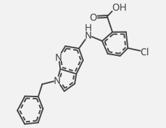 O=C(O)c1cc(Cl)ccc1Nc1cnc2c(ccn2Cc2ccccc2)c1